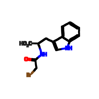 O=C(CBr)NC(Cc1c[nH]c2ccccc12)C(=O)O